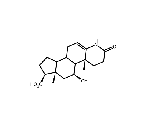 C[C@]12CCC(=O)NC1=CCC1C2[C@@H](O)C[C@@]2(C)C1CC[C@@H]2C(=O)O